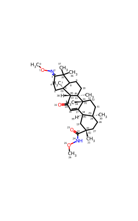 CON=C1CC[C@@]2(C)C(CC[C@]3(C)[C@@H]2C(=O)C=C2[C@@H]4C[C@@](C)(C(=O)NOC)CC[C@]4(C)CC[C@]23C)C1(C)C